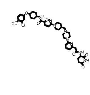 N#Cc1ccc(OC2CCC(NC(=O)c3ccc(N4CCC(CN5CCN(c6cccc(CC(=O)NC7CCC(=O)NC7=O)n6)CC5)CC4)nn3)CC2)cc1Cl